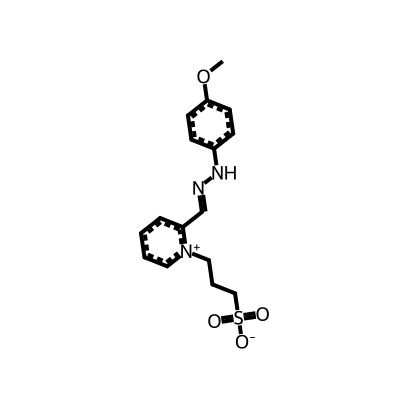 COc1ccc(N/N=C/c2cccc[n+]2CCCS(=O)(=O)[O-])cc1